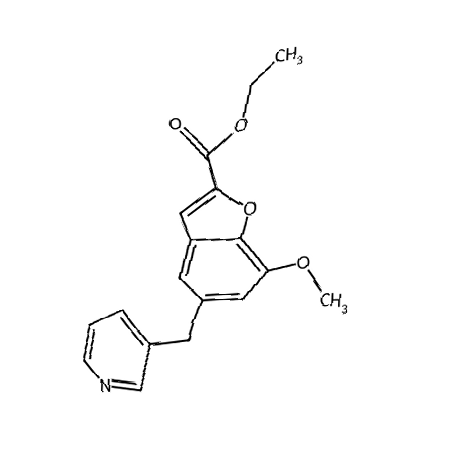 CCOC(=O)c1cc2cc(Cc3cccnc3)cc(OC)c2o1